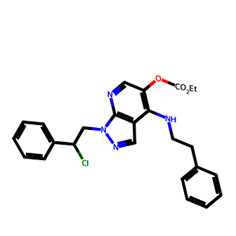 CCOC(=O)Oc1cnc2c(cnn2CC(Cl)c2ccccc2)c1NCCc1ccccc1